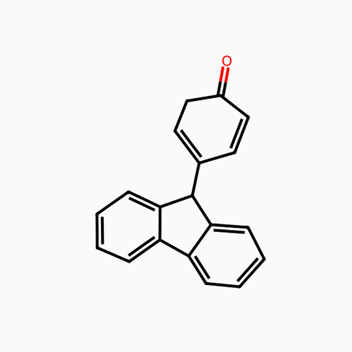 O=C1C=CC(C2c3ccccc3-c3ccccc32)=CC1